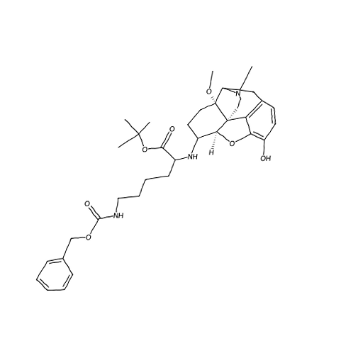 CO[C@@]12CCC(NC(CCCCNC(=O)OCc3ccccc3)C(=O)OC(C)(C)C)[C@@H]3Oc4c(O)ccc5c4[C@@]31CCN(C)C2C5